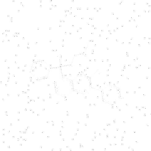 CN(C)CCC(O)(c1ccccc1)c1cc(Br)cc2cc(-c3ccccc3)c(Cl)nc12